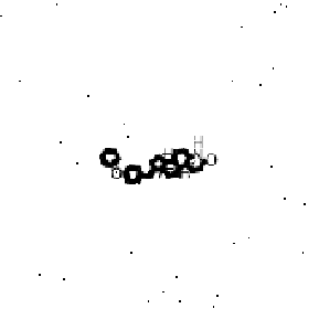 C[C@]12CCC(=O)NC1CC[C@@H]1[C@H]2CC[C@]2(C)C(=Cc3ccc(Oc4ccccc4)cc3)CC[C@@H]12